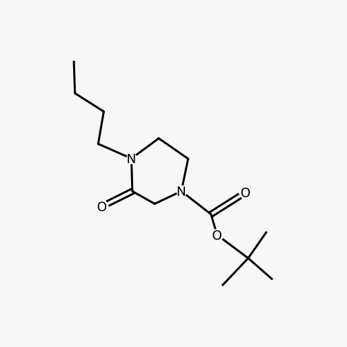 CCCCN1CCN(C(=O)OC(C)(C)C)CC1=O